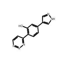 Oc1cc(-c2cn[nH]c2)ccc1-c1ccnnn1